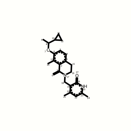 C=C1c2c(ccc(OC(C)C3CC3)c2C)CCN1Cc1c(C)cc(C)[nH]c1=O